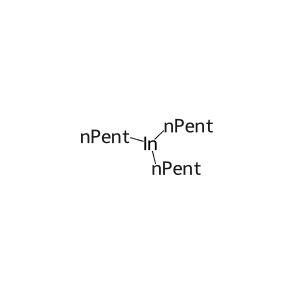 CCCC[CH2][In]([CH2]CCCC)[CH2]CCCC